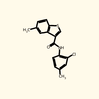 Cc1ccc(NC(=O)c2csc3ccc(C)cc23)c(Cl)c1